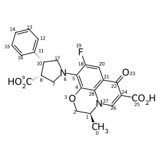 C[C@H]1COc2c(N3C[C@H](C(=O)O)[C@H](c4ccccc4)C3)c(F)cc3c(=O)c(C(=O)O)cn1c23